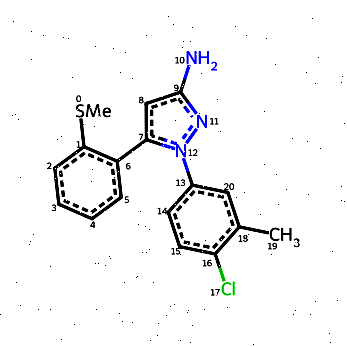 CSc1ccccc1-c1cc(N)nn1-c1ccc(Cl)c(C)c1